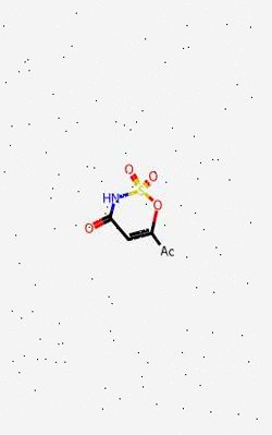 CC(=O)C1=CC(=O)NS(=O)(=O)O1